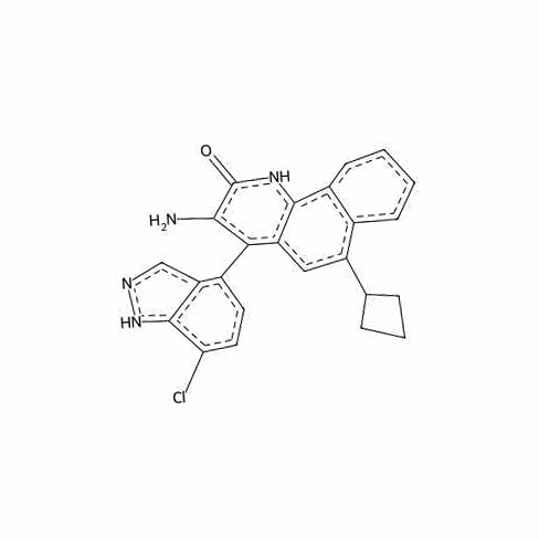 Nc1c(-c2ccc(Cl)c3[nH]ncc23)c2cc(C3CCC3)c3ccccc3c2[nH]c1=O